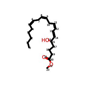 CCCCC/C=C\C/C=C\C/C=C\C=C\[C@@H](O)CCCC(=O)OC